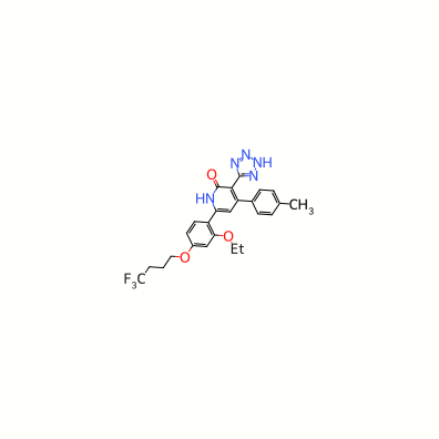 CCOc1cc(OCCCC(F)(F)F)ccc1-c1cc(-c2ccc(C)cc2)c(-c2nn[nH]n2)c(=O)[nH]1